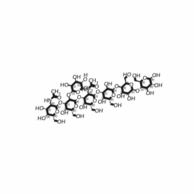 CC(=O)N[C@H]1[C@@H](O[C@H]2[C@@H](O)[C@@H](CO)O[C@@H](O[C@H]3[C@@H](O)[C@@H](CO)O[C@@H](O[C@H]4[C@@H](O)[C@@H](CO)O[C@H](O[C@@H]5[C@H](O)[C@@H](O)[C@H](O[C@H]6[C@H](O)[C@@H](O)[C@H](O)O[C@@H]6CO)O[C@@H]5CO)[C@@H]4O)[C@@H]3NC(C)=O)[C@@H]2O[C@@H]2O[C@@H](C)[C@@H](O)[C@@H](O)[C@@H]2O)O[C@H](CO)[C@H](O)[C@@H]1O